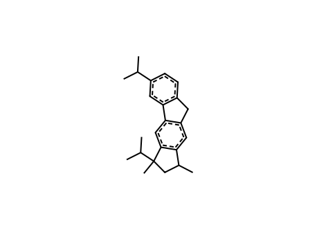 CC(C)c1ccc2c(c1)-c1cc3c(cc1C2)C(C)CC3(C)C(C)C